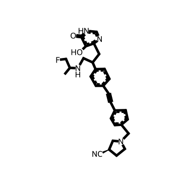 CC(CF)NCC(Cc1nc[nH]c(=O)c1O)c1ccc(C#Cc2ccc(CN3CC[C@@H](C#N)C3)cc2)cc1